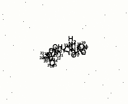 C[C@@H](C(=O)Nc1ccc(C[C@@H]2CC[C@H]([C@H](O[Si](C)(C)C(C)(C)C)c3ccccc3)N2C(=O)O)cc1N)n1cccnc1=O